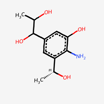 CC(O)C(O)c1cc(O)c(N)c([C@@H](C)O)c1